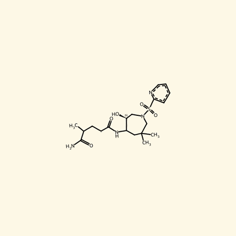 CC(C[CH]C(=O)NC1CC(C)(C)CN(S(=O)(=O)c2ccccn2)C[C@@H]1O)C(N)=O